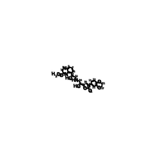 COc1cnc2cccc([C@@H](O)CNC[C@H](O)[C@@H]3CN(c4ccc5c(c4)OCCO5)C(=O)O3)c2n1